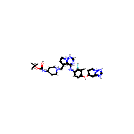 Cc1c(Oc2ccn3ncnc3c2)ccc(Nc2ncnn3ccc(CN4CCC(NC(=O)OC(C)(C)C)CC4)c23)c1F